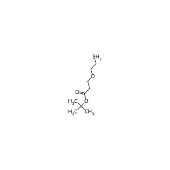 BCCOCCC(=O)OC(C)(C)C